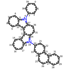 c1ccc(-n2c3ccccc3c3c4c5ccccc5n(-c5ccc6c(ccc7ccccc76)c5)c4ccc32)cc1